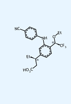 CCO[C@H](c1ccc([C@H](CC)CC(=O)O)cc1Nc1ccc(C#N)cc1)C(F)(F)F